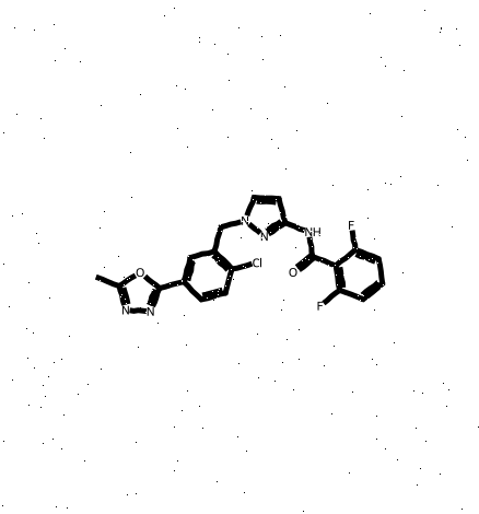 Cc1nnc(-c2ccc(Cl)c(Cn3ccc(NC(=O)c4c(F)cccc4F)n3)c2)o1